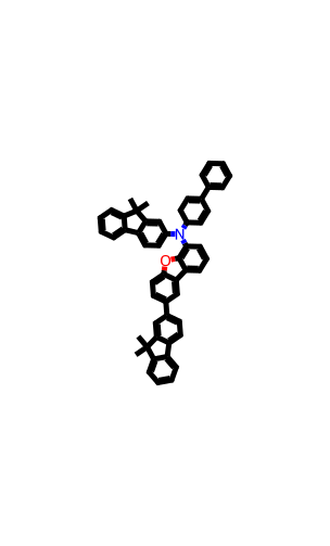 CC1(C)c2ccccc2-c2ccc(-c3ccc4oc5c(N(c6ccc7c(c6)C(C)(C)c6ccccc6-7)C6C=CC(c7ccccc7)=CC6)cccc5c4c3)cc21